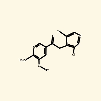 CSc1ncc(C(=O)Cc2c(Cl)cncc2Cl)cc1OC(C)C